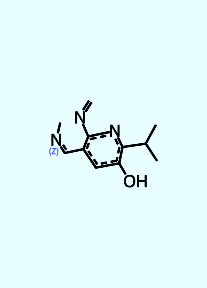 C=Nc1nc(C(C)C)c(O)cc1/C=N\C